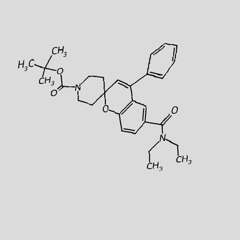 CCN(CC)C(=O)c1ccc2c(c1)C(c1ccccc1)=CC1(CCN(C(=O)OC(C)(C)C)CC1)O2